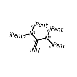 CCCC(C)N(C(=N)N(C(C)CCC)C(C)CCC)C(C)CCC